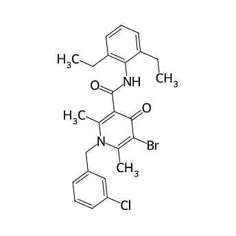 CCc1cccc(CC)c1NC(=O)c1c(C)n(Cc2cccc(Cl)c2)c(C)c(Br)c1=O